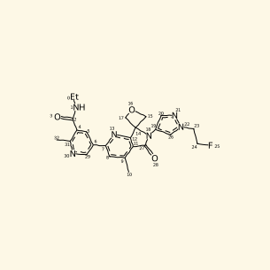 CCNC(=O)c1cc(-c2cc(C)c3c(n2)C2(COC2)N(c2cnn(CCF)c2)C3=O)cnc1C